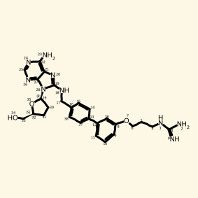 N=C(N)NCCCOc1cccc(-c2ccc(CNc3nc4c(N)ncnc4n3[C@H]3CC[C@@H](CO)O3)cc2)c1